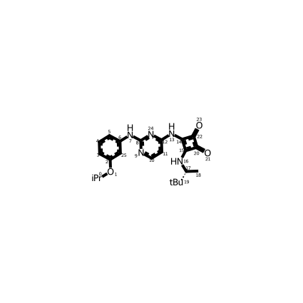 CC(C)Oc1cccc(Nc2nccc(Nc3c(N[C@H](C)C(C)(C)C)c(=O)c3=O)n2)c1